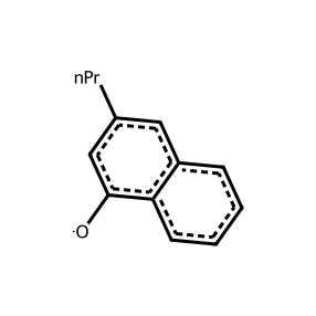 CCCc1cc([O])c2ccccc2c1